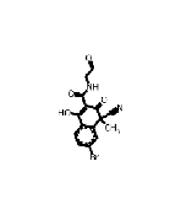 CC1(C#N)C(=O)C(C(=O)NCC=O)=C(O)c2ccc(Br)cc21